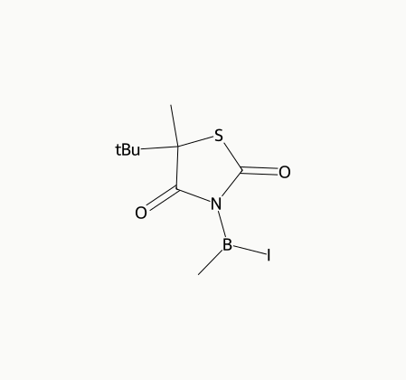 CB(I)N1C(=O)SC(C)(C(C)(C)C)C1=O